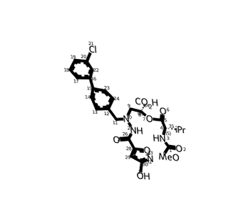 COC(=O)N[C@H](C(=O)O[C@H](CN(Cc1ccc(-c2cccc(Cl)c2)cc1)NC(=O)c1cc(O)no1)C(=O)O)C(C)C